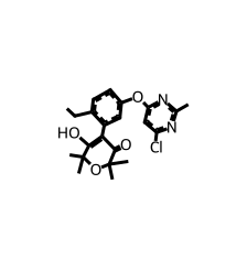 CCc1ccc(Oc2cc(Cl)nc(C)n2)cc1C1=C(O)C(C)(C)OC(C)(C)C1=O